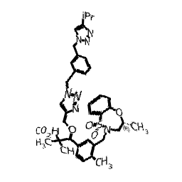 Cc1ccc(C(OCc2cn(Cc3cccc(Cn4cc(C(C)C)nn4)c3)nn2)C(C)(C)C(=O)O)cc1CN1C[C@@H](C)Oc2ccccc2S1(=O)=O